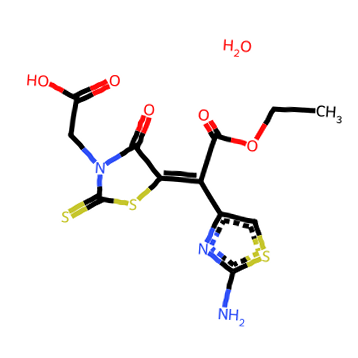 CCOC(=O)/C(=C1/SC(=S)N(CC(=O)O)C1=O)c1csc(N)n1.O